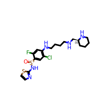 [O-][S+](Nc1nccs1)c1cc(Cl)c(NCCCCNC[C@@H]2CCCCN2)cc1F